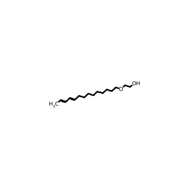 CC=CC=CCCCCCCCCCOCCO